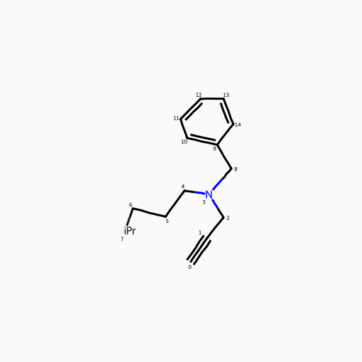 C#CCN(CCCC(C)C)Cc1ccccc1